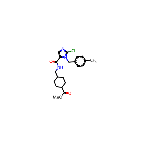 COC(=O)C1CCC(CNC(=O)c2cnc(Cl)n2Cc2ccc(C(F)(F)F)cc2)CC1